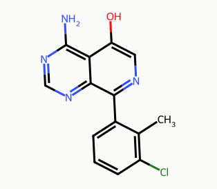 Cc1c(Cl)cccc1-c1ncc(O)c2c(N)ncnc12